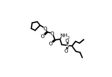 CCCC(CCC)S(=O)(=O)C[C@H](N)C(=O)OC(=O)OC1CCCC1